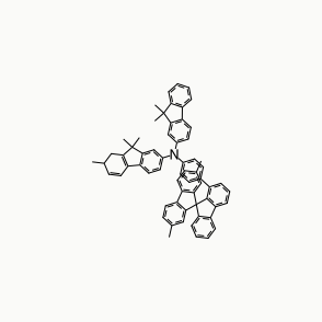 Cc1ccc2c(c1)C1(c3cc(C)ccc3-2)c2ccccc2-c2cccc(-c3ccc(N(c4ccc5c(c4)C(C)(C)C4=C5C=CC(C)C4)c4ccc5c(c4)C(C)(C)c4ccccc4-5)cc3)c21